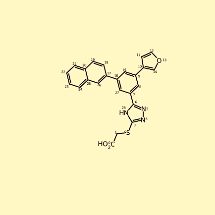 O=C(O)CSc1nnc(-c2cc(-c3ccoc3)cc(-c3ccc4ccccc4c3)c2)[nH]1